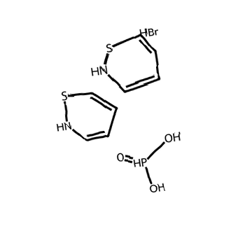 Br.C1=CNSC=C1.C1=CNSC=C1.O=[PH](O)O